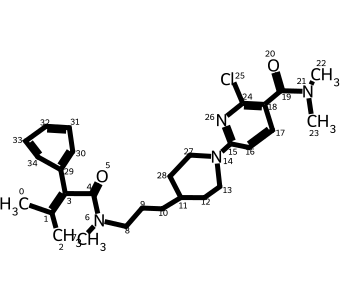 CC(C)=C(C(=O)N(C)CCCC1CCN(c2ccc(C(=O)N(C)C)c(Cl)n2)CC1)c1ccccc1